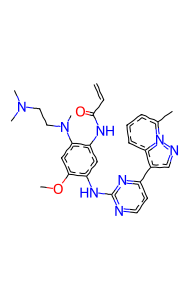 C=CC(=O)Nc1cc(Nc2nccc(-c3cnn4c(C)cccc34)n2)c(OC)cc1N(C)CCN(C)C